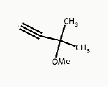 [C]#CC(C)(C)OC